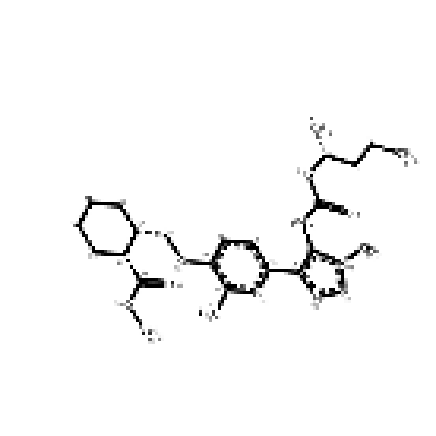 CCC[C@@H](C)OC(=O)Nc1c(-c2ccc(OC[C@H]3CCCC[C@@H]3C(=O)OC)c(C)n2)nnn1C